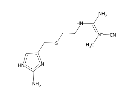 C[N+](C#N)=C(N)NCCSCc1c[nH]c(N)n1